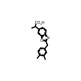 Cc1ccc(Cc2nc3ccc(C(C)C(=O)O)cc3o2)cc1C